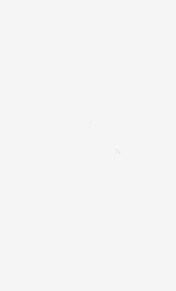 COC(=O)c1sc2nccc(OC)c2c1I